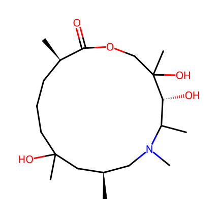 CC1[C@@H](O)C(C)(O)COC(=O)[C@H](C)CCCC(C)(O)C[C@H](C)CN1C